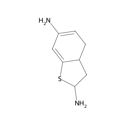 NC1=CCC2CC(N)SC2=C1